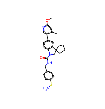 COc1cc(C)c(-c2ccc3c(c2)C2(CCCC2)CN3C(=O)NCc2ccc(SN)cc2)cn1